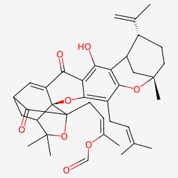 C=C(C)[C@@H]1CC[C@@]2(C)CC1c1c(O)c3c(c(CC=C(C)C)c1O2)O[C@]12C(=CC4CC1C(C)(C)OC2(C/C=C(/C)OC=O)C4=O)C3=O